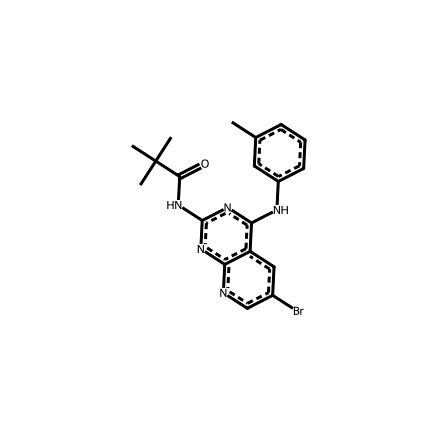 Cc1cccc(Nc2nc(NC(=O)C(C)(C)C)nc3ncc(Br)cc23)c1